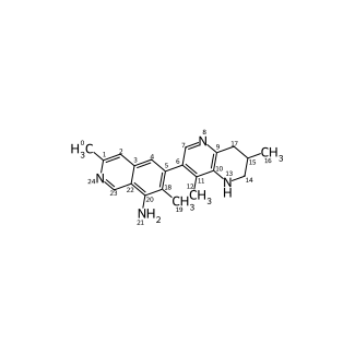 Cc1cc2cc(-c3cnc4c(c3C)NCC(C)C4)c(C)c(N)c2cn1